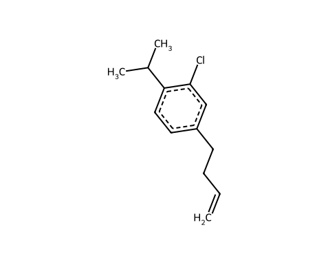 C=CCCc1ccc(C(C)C)c(Cl)c1